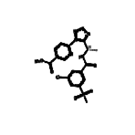 COC(=O)c1ccc(-n2ncnc2[C@H](C)NC(=O)c2cc(Cl)cc(S(C)(=O)=O)c2)nc1